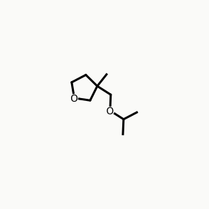 CC(C)OCC1(C)CCOC1